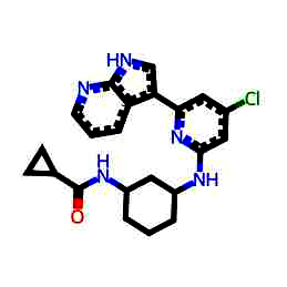 O=C(NC1CCCC(Nc2cc(Cl)cc(-c3c[nH]c4ncccc34)n2)C1)C1CC1